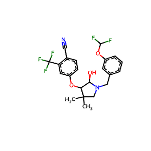 CC1(C)CN(Cc2cccc(OC(F)F)c2)[C@H](O)C1Oc1ccc(C#N)c(C(F)(F)F)c1